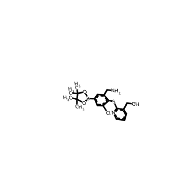 CC1(C)OB(c2cc(Cl)c(Sc3ncccc3CO)c(CN)c2)OC1(C)C